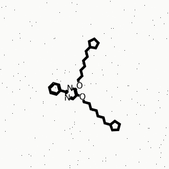 c1ccc(-c2ncc(OCCCCCCCC3CCCC3)c(OCCCCCCCC3CCCC3)n2)cc1